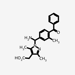 Cc1cc(C(N)n2nc(C)c(CC(=O)O)c2C)ccc1C(=O)c1ccccc1